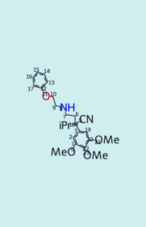 COc1cc(C(C#N)(CCNCCOc2ccccc2)C(C)C)cc(OC)c1OC